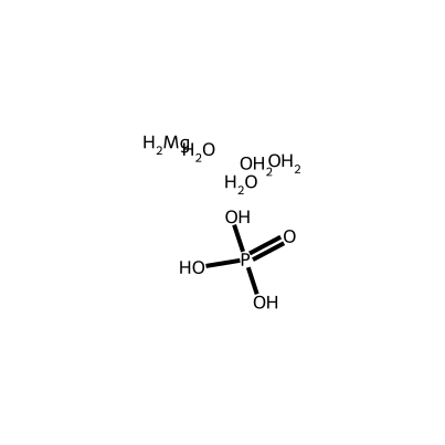 O.O.O.O.O=P(O)(O)O.[MgH2]